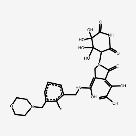 C=C(O)/C(O)=C1/C(=O)N(C2C(=O)NC(=O)C(O)(O)C2(O)O)C/C1=C(/O)NCc1cccc(CN2CCOCC2)c1F